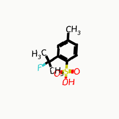 Cc1ccc(S(=O)(=O)O)c(C(C)(C)F)c1